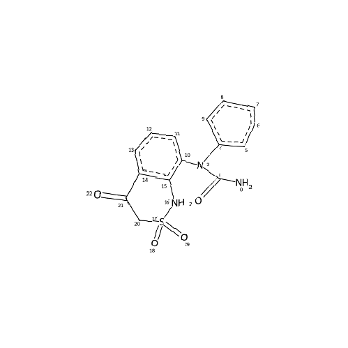 NC(=O)N(c1ccccc1)c1cccc2c1NS(=O)(=O)CC2=O